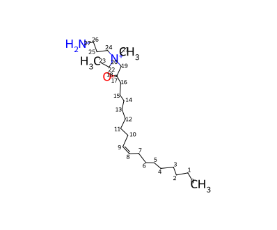 CCCCCCCC/C=C\CCCCCCCC(=O)C[N+](C)(CC)CCCN